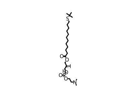 CN(C)CCO[PH](=O)OC[C@H](I)COC(=O)CCCCCCCCCCCSC(C)(C)C